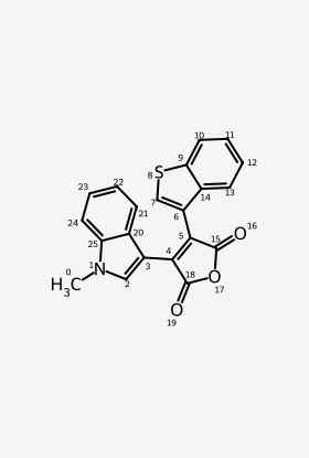 Cn1cc(C2=C(c3csc4ccccc34)C(=O)OC2=O)c2ccccc21